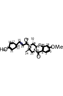 COc1ccc(C(=O)N2C[C@@H](C)N(C(=O)/C=C/c3ccc(O)cc3)[C@H](C)C2)c(F)c1